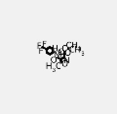 Cc1onc(C(=O)OC(C)(C)C)c1C(=O)Nc1ccc(C(F)(F)F)cc1